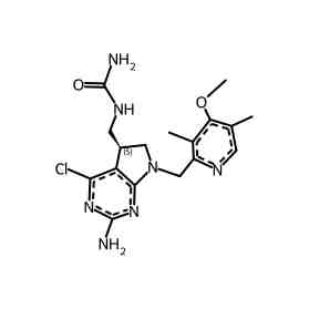 COc1c(C)cnc(CN2C[C@H](CNC(N)=O)c3c(Cl)nc(N)nc32)c1C